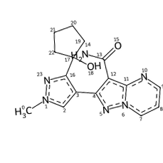 Cn1cc(-c2nn3cccnc3c2C(N)=O)c(C2(O)CCCC2)n1